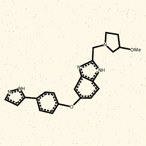 COC1CCN(Cc2nc3cc(Oc4ccc(-c5ccn[nH]5)cc4)ccc3[nH]2)C1